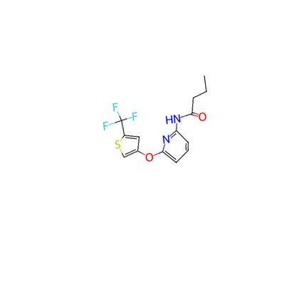 CCCC(=O)Nc1cccc(Oc2csc(C(F)(F)F)c2)n1